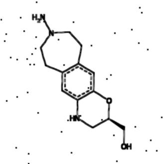 NN1CCc2cc3c(cc2CC1)O[C@@H](CO)CN3